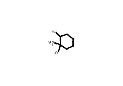 CC(C)C1CCCCC1(P)C(C)C